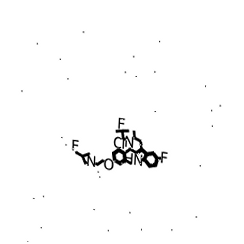 Cc1cc(OCCN2CC(CF)C2)cc(Cl)c1C1c2[nH]c3ccc(F)cc3c2CC(C)N1CC(C)(C)F